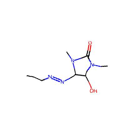 CCN=NC1C(O)N(C)C(=O)N1C